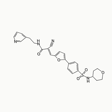 N#C/C(=C\c1ccc(-c2ccc(S(=O)(=O)NC3CCOCC3)cc2)o1)C(=O)NCCc1cccnc1